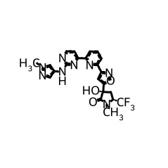 CN1C(=O)[C@](O)(c2cc(-c3cccc(-c4ccnc(Nc5cnn(C)c5)n4)n3)no2)C[C@H]1C(F)(F)F